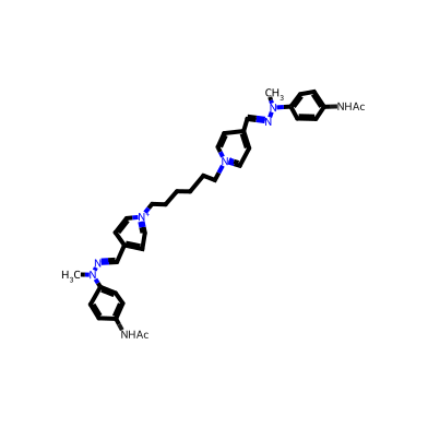 CC(=O)Nc1ccc(N(C)/N=C/c2cc[n+](CCCCCC[n+]3ccc(/C=N/N(C)c4ccc(NC(C)=O)cc4)cc3)cc2)cc1